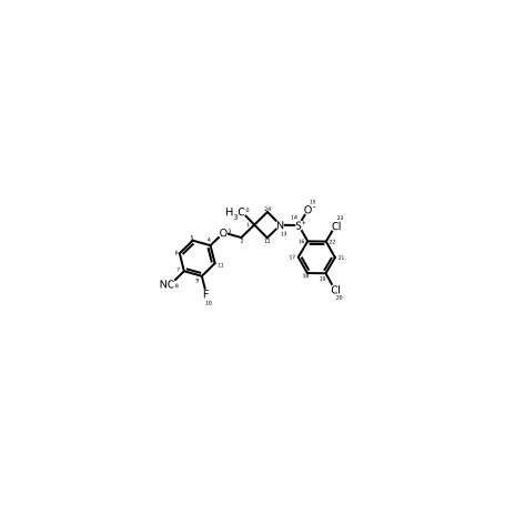 CC1(COc2ccc(C#N)c(F)c2)CN([S+]([O-])c2ccc(Cl)cc2Cl)C1